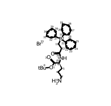 CC(C)(C)OC(=O)[C@H](CCCN)NC(=O)CC[P+](c1ccccc1)(c1ccccc1)c1ccccc1.[Br-]